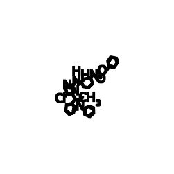 Cc1c(-c2nc(N[C@@H]3CCC[C@H](NC(=O)OCc4ccccc4)C3)ncc2Cl)c2ccccc2n1-c1ccccc1